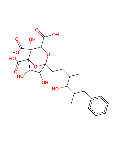 CC(CCC12OC(C(=O)O)C(O)(C(=O)O)C(C(=O)O)(O1)C(O)C2O)C(O)C(C)Cc1ccccc1